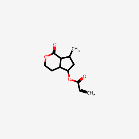 C=CC(=O)OC1CC(C)C2C(=O)OCCC12